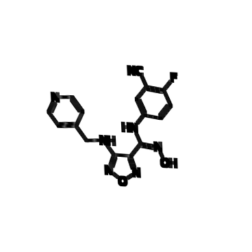 N#Cc1cc(N/C(=N/O)c2nonc2NCc2ccncc2)ccc1F